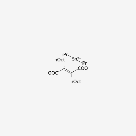 CCCCCCCCC(C(=O)[O-])=C(CCCCCCCC)C(=O)[O-].C[CH](C)[Sn+2][CH](C)C